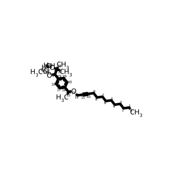 CCCCCCCCCCC#CCOC(C)c1ccc(C(O[SiH](C)C)C(C)(C)C)cc1